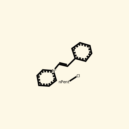 C(=C[n+]1ccccc1)c1ccccc1.CCCCCCl